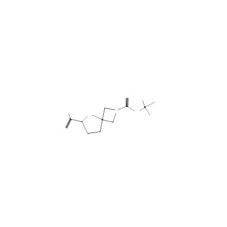 CC(C)(C)OC(=O)N1CC2(CCC(C(=O)O)O2)C1